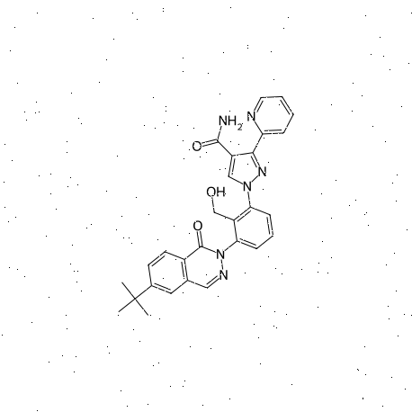 CC(C)(C)c1ccc2c(=O)n(-c3cccc(-n4cc(C(N)=O)c(-c5ccccn5)n4)c3CO)ncc2c1